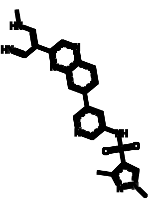 CN/C=C(\C=N)c1cnc2ccc(-c3cncc(NS(=O)(=O)c4cn(C)nc4C)c3)cc2n1